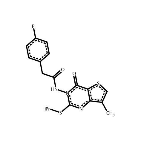 Cc1csc2c(=O)n(NC(=O)Cc3ccc(F)cc3)c(SC(C)C)nc12